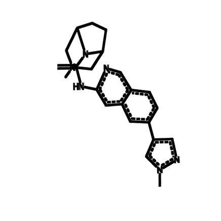 C=C(Nc1cc2cc(-c3cnn(C)c3)ccc2cn1)N1C2CCC1CN(C)C2